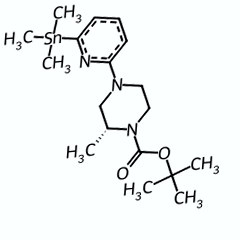 C[C@@H]1CN(c2ccc[c]([Sn]([CH3])([CH3])[CH3])n2)CCN1C(=O)OC(C)(C)C